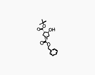 CC(C)(C)OC(=O)[C@H]1CN(C(=O)OCc2ccccc2)C[C@H]1O